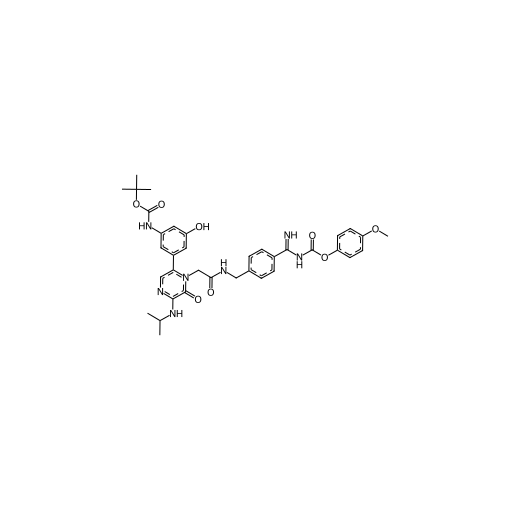 COc1ccc(OC(=O)NC(=N)c2ccc(CNC(=O)Cn3c(-c4cc(O)cc(NC(=O)OC(C)(C)C)c4)cnc(NC(C)C)c3=O)cc2)cc1